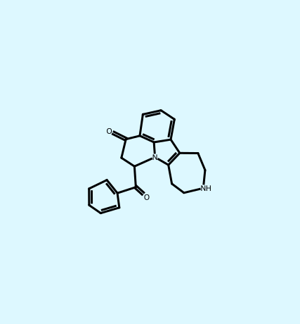 O=C1CC(C(=O)c2ccccc2)n2c3c(c4cccc1c42)CCNCC3